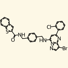 O=C(NCc1ccc(CNc2cc(-c3ccccc3Cl)nc3c(Br)cnn23)cc1)c1cc2ccccc2s1